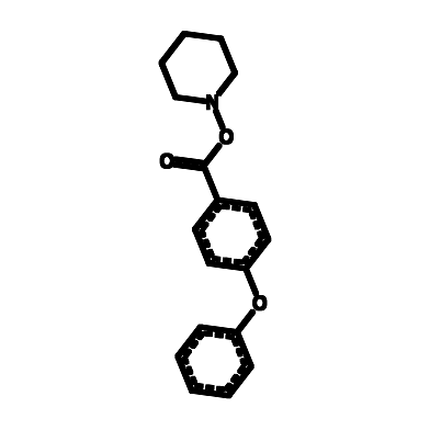 O=C(ON1CCCCC1)c1ccc(Oc2ccccc2)cc1